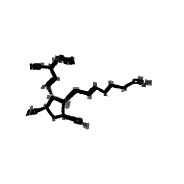 CCCCCC(O)C=C[C@H]1[C@H](O)CC(=O)[C@@H]1CC=CCCCC(=O)O